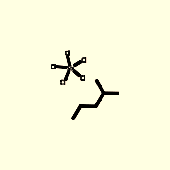 CCCC(C)C.[Cl][Sb]([Cl])([Cl])([Cl])[Cl]